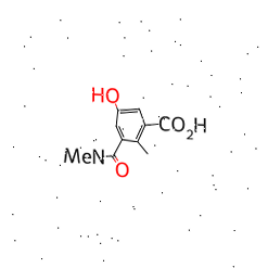 CNC(=O)c1cc(O)cc(C(=O)O)c1C